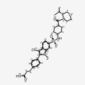 CC(C)[C@H]1COCCN1C(=O)C1CCC(NS(=O)(=O)c2ccc3c(Cl)c(-c4ccc(CCC(=O)O)cc4)n(C)c3c2)CC1